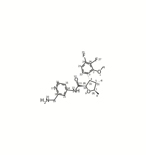 COc1c([C@@H]2[C@H](C)[C@@H](C)O[C@H]2C(=O)Nc2ccnc(CN)c2)ccc(F)c1F